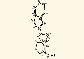 CC(C)N1CCCC2(CC(c3ccc4ccccc4c3)=NO2)C1